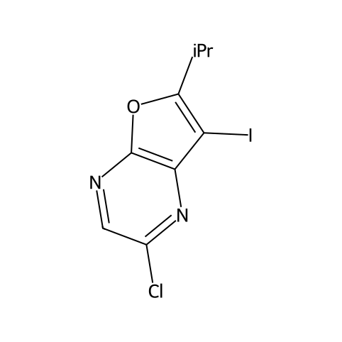 CC(C)c1oc2ncc(Cl)nc2c1I